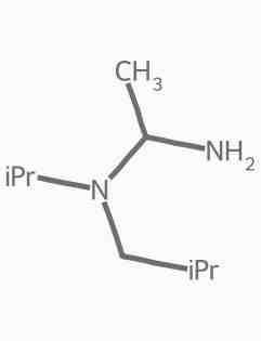 CC(C)CN(C(C)C)C(C)N